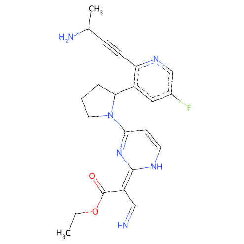 CCOC(=O)/C(C=N)=C1\N=C(N2CCCC2c2cc(F)cnc2C#CC(C)N)C=CN1